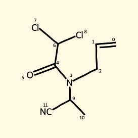 C=CCN(C(=O)C(Cl)Cl)C(C)C#N